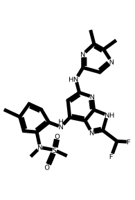 Cc1ccc(Nc2cc(Nc3cnc(C)c(C)n3)nc3[nH]c(C(F)F)nc23)c(N(C)S(C)(=O)=O)c1